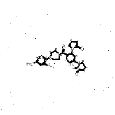 Cc1cnc(N2CCN(C(=O)c3ccc(N4CCCS4(=O)=O)cc3N3CCCC3=O)CC2)c(C)c1